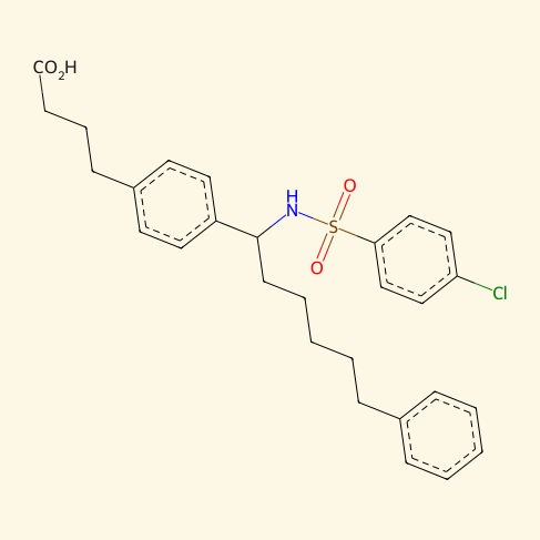 O=C(O)CCCc1ccc(C(CCCCCc2ccccc2)NS(=O)(=O)c2ccc(Cl)cc2)cc1